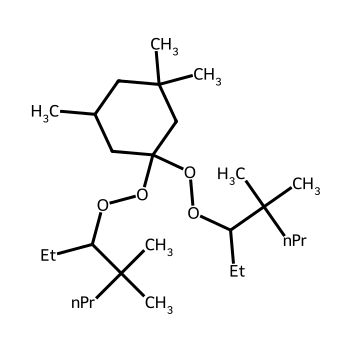 CCCC(C)(C)C(CC)OOC1(OOC(CC)C(C)(C)CCC)CC(C)CC(C)(C)C1